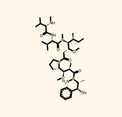 CC[C@H](C)[C@@H]([C@@H](CC(=O)N1CCC[C@H]1[C@H](OC)[C@@H](C)C(=O)N(N)[C@H](C)[C@@H](O)c1ccccc1)OC)N(C)C(=O)[C@@H](NC(=O)[C@@H](NC)C(C)C)C(C)C